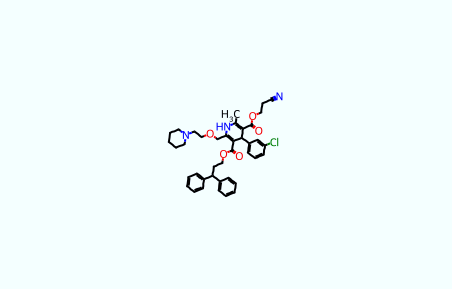 CC1=C(C(=O)OCCC#N)C(c2cccc(Cl)c2)C(C(=O)OCCC(c2ccccc2)c2ccccc2)=C(COCCN2CCCCC2)N1